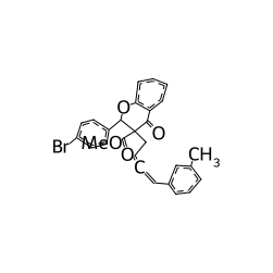 COC(=O)C1(CC=C=Cc2cccc(C)c2)C(=O)c2ccccc2OC1c1ccc(Br)cc1